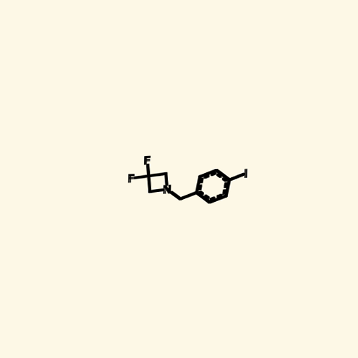 FC1(F)CN(Cc2ccc(I)cc2)C1